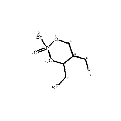 O=P1(Br)OCC(CF)C(CF)O1